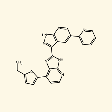 CCc1ccc(-c2ccnc3[nH]c(-c4n[nH]c5ccc(-c6ccccn6)cc45)nc23)s1